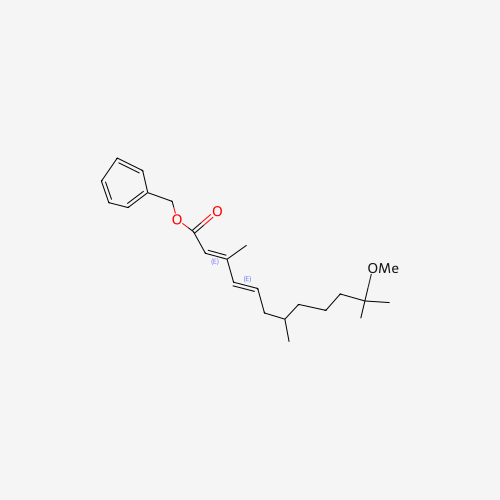 COC(C)(C)CCCC(C)C/C=C/C(C)=C/C(=O)OCc1ccccc1